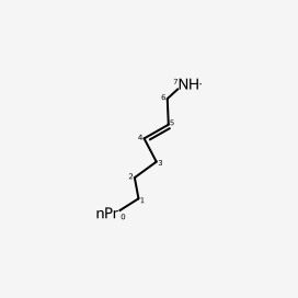 CCCCCC/C=C/C[NH]